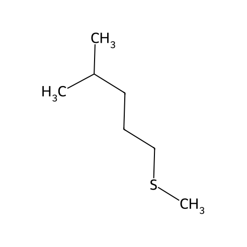 CSCCCC(C)C